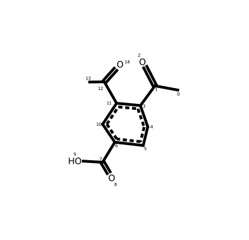 CC(=O)c1ccc(C(=O)O)cc1C(C)=O